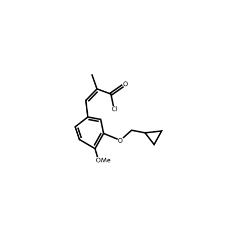 COc1ccc(C=C(C)C(=O)Cl)cc1OCC1CC1